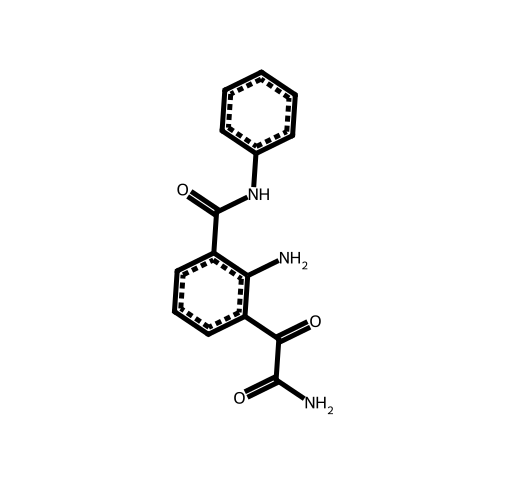 NC(=O)C(=O)c1cccc(C(=O)Nc2ccccc2)c1N